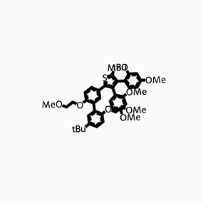 COCCOc1ccc(-c2sc(C(C)(C)C)c(-c3ccc(OC)cc3OC)c2-c2ccc(OC)cc2OC)cc1-c1cc(C(C)(C)C)ccc1OCCOC